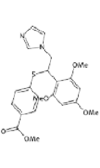 COC(=O)c1ccc(SC(Cn2ccnc2)c2c(OC)cc(OC)cc2OC)cc1